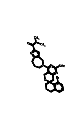 CSc1nc2c(c(N3CCCn4nc(C(=O)N(C)C)cc4C3)n1)COC1(CCCc3cccc(Br)c31)C2